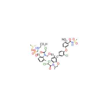 CC1COc2ccccc2N1C(=O)C(Cl)Cl.CCOCN(C(=O)CCl)c1c(C)cccc1CC.CS(=O)(=O)NC(=O)c1cc(Oc2ccc(C(F)(F)F)cc2Cl)ccc1[N+](=O)[O-].C[S+](C)C.O=C(O)CNCP(=O)([O-])O